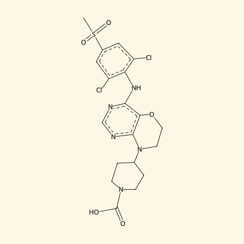 CS(=O)(=O)c1cc(Cl)c(Nc2ncnc3c2OCCN3C2CCN(C(=O)O)CC2)c(Cl)c1